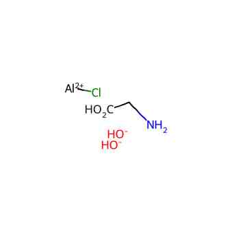 NCC(=O)O.[Al+2][Cl].[OH-].[OH-]